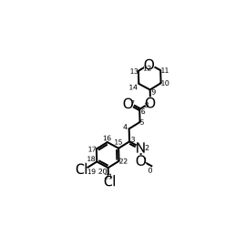 CON=C(CCC(=O)OC1CCOCC1)c1ccc(Cl)c(Cl)c1